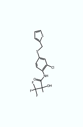 CC(O)(C(=O)Nc1ccc(SCc2cccs2)cc1Cl)C(F)(F)F